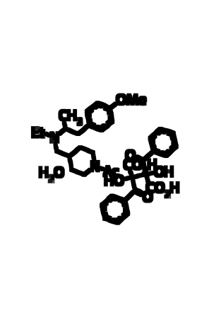 CCN(CC1CCN(C(C)=O)CC1)C(C)Cc1ccc(OC)cc1.O.O=C(O)C(O)(C(=O)c1ccccc1)C(O)(C(=O)O)C(=O)c1ccccc1